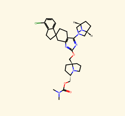 CN(C)C(=O)OC[C@@H]1CC[C@]2(COc3nc4c(c(N5C[C@H]6CC[C@@H](C5)N6C)n3)CCC3(CCc5c(Cl)cccc53)C4)CCCN12